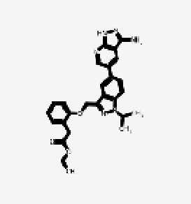 CCOC(=O)Cc1ccccc1OCc1nn(C(C)C)c2ccc(-c3cnc4[nH]nc(N)c4c3)cc12